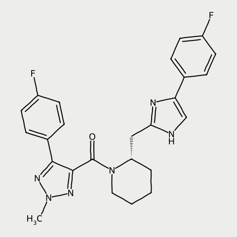 Cn1nc(C(=O)N2CCCC[C@H]2Cc2nc(-c3ccc(F)cc3)c[nH]2)c(-c2ccc(F)cc2)n1